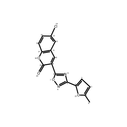 Cc1ccc(-c2noc(-c3cc4cc(Cl)ccc4oc3=O)n2)o1